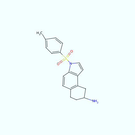 Cc1ccc(S(=O)(=O)n2ccc3c4c(ccc32)CCC(N)C4)cc1